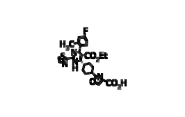 CCOC(=O)C1=C([C@H]2CC[C@H](c3nc(C(=O)O)co3)CC2)NC(c2nccs2)=NC1c1ccc(F)cc1C